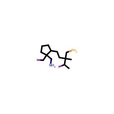 CC(I)C(C)(CP)CCC1CCCC1(CN)CI